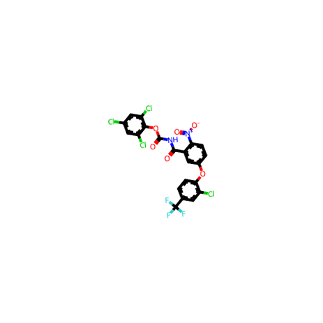 O=C(NC(=O)c1cc(Oc2ccc(C(F)(F)F)cc2Cl)ccc1[N+](=O)[O-])Oc1c(Cl)cc(Cl)cc1Cl